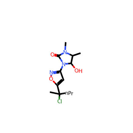 CCCC(C)(Cl)c1cc(N2C(=O)N(C)C(C)C2O)no1